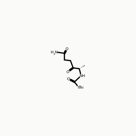 C[C@H](NC(=O)C(C)(C)C)C(=O)CCC(N)=O